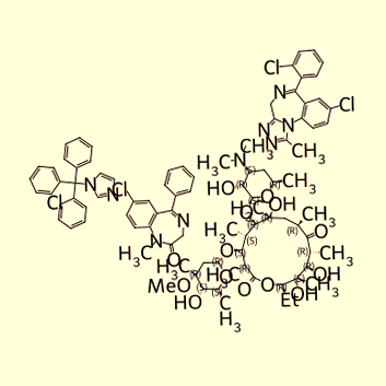 CC[C@H]1OC(=O)[C@H](C)[C@@H](O[C@H]2C[C@@](C)(OC)[C@@H](O)[C@H](C)O2)[C@H](C)[C@@H](O[C@@H]2O[C@H](C)C[C@H](N(C)C)[C@H]2O)[C@](C)(O)C[C@@H](C)C(=O)[C@H](C)[C@@H](O)[C@]1(C)O.CN1C(=O)CN=C(c2ccccc2)c2cc(Cl)ccc21.Cc1nnc2n1-c1ccc(Cl)cc1C(c1ccccc1Cl)=NC2.Clc1ccccc1C(c1ccccc1)(c1ccccc1)n1ccnc1